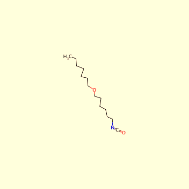 CCCCCCCOCCCCCCN=C=O